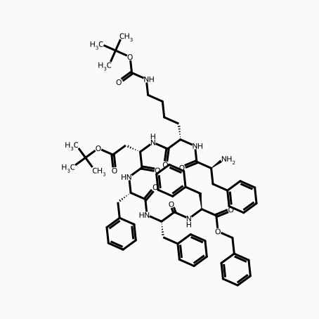 CC(C)(C)OC(=O)C[C@H](NC(=O)[C@H](CCCCNC(=O)OC(C)(C)C)NC(=O)[C@@H](N)Cc1ccccc1)C(=O)N[C@@H](Cc1ccccc1)C(=O)N[C@@H](Cc1ccccc1)C(=O)N[C@@H](Cc1ccccc1)C(=O)OCc1ccccc1